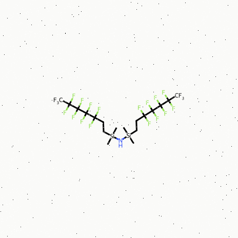 C[Si](C)(CCC(F)(F)C(F)(F)C(F)(F)C(F)(F)C(F)(F)F)N[Si](C)(C)CCC(F)(F)C(F)(F)C(F)(F)C(F)(F)C(F)(F)F